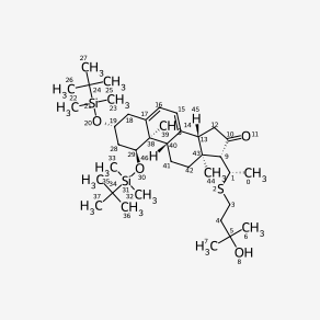 C[C@H](SCCC(C)(C)O)[C@H]1C(=O)C[C@H]2C3=CC=C4C[C@@H](O[Si](C)(C)C(C)(C)C)C[C@H](O[Si](C)(C)C(C)(C)C)[C@]4(C)[C@H]3CC[C@]12C